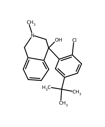 CN1Cc2ccccc2C(O)(c2cc(C(C)(C)C)ccc2Cl)C1